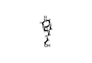 OCCSCN1CN2CNCN(C2)C1